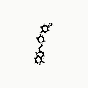 Cc1nccc2nc([CH]CN3CCC(Oc4ccc(C(F)(F)F)cc4)CC3)ccc12